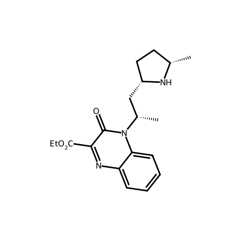 CCOC(=O)c1nc2ccccc2n([C@@H](C)C[C@@H]2CC[C@H](C)N2)c1=O